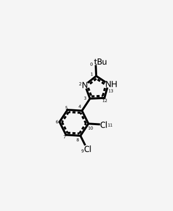 CC(C)(C)c1nc(-c2cccc(Cl)c2Cl)c[nH]1